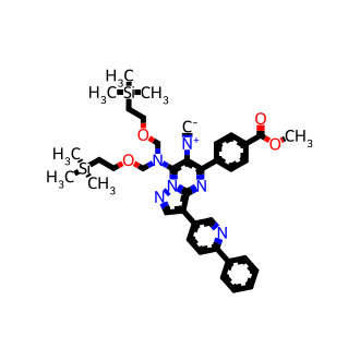 [C-]#[N+]c1c(-c2ccc(C(=O)OC)cc2)nc2c(-c3ccc(-c4ccccc4)nc3)cnn2c1N(COCC[Si](C)(C)C)COCC[Si](C)(C)C